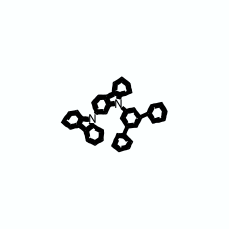 c1ccc(-c2cc(-c3ccccc3)cc(-n3c4ccccc4c4ccc(-n5c6ccccc6c6ccccc65)cc43)c2)cc1